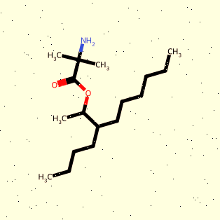 CCCCCCC(CCCC)C(C)OC(=O)C(C)(C)N